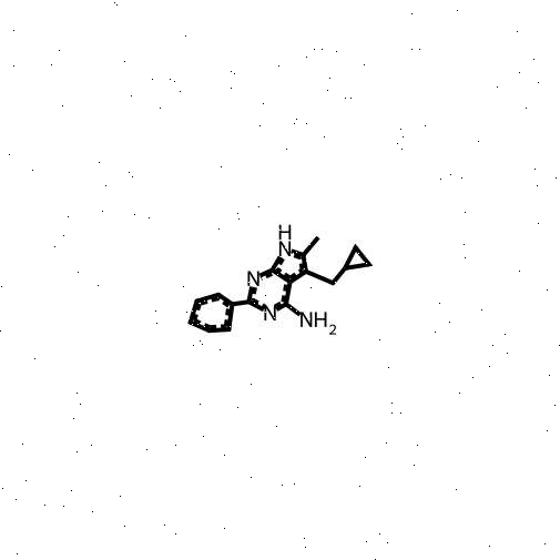 Cc1[nH]c2nc(-c3ccccc3)nc(N)c2c1CC1CC1